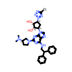 CCc1nnn([C@H]2C[C@@H](n3cnc4c(NCC(c5ccccc5)c5ccccc5)nc(N5CC[C@@H](N(C)C)C5)nc43)[C@H](O)[C@@H]2O)n1